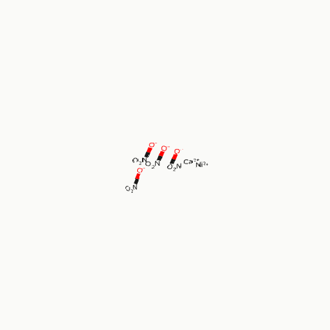 O=[N+]([O-])[O-].O=[N+]([O-])[O-].O=[N+]([O-])[O-].O=[N+]([O-])[O-].[Ca+2].[Ni+2]